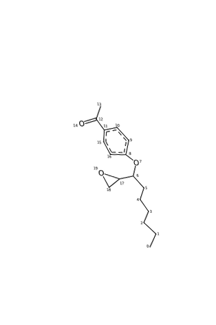 CCCCCCC(Oc1ccc(C(C)=O)cc1)C1CO1